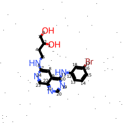 OCC(O)CCNc1cc2c(Nc3cccc(Br)c3)ncnc2cn1